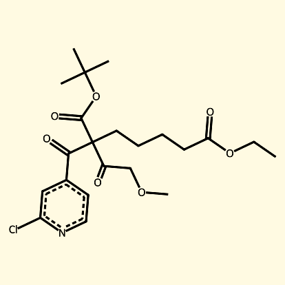 CCOC(=O)CCCCC(C(=O)COC)(C(=O)OC(C)(C)C)C(=O)c1ccnc(Cl)c1